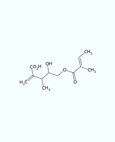 C=C(C(=O)O)C(C)C(O)COC(=O)C(C)=CC